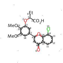 CCC(Oc1cc(-c2cc(=O)c3cccc(Cl)c3o2)cc(OC)c1OC)C(=O)O